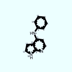 c1ccc(Nc2ccnc3[nH]ccc23)cc1